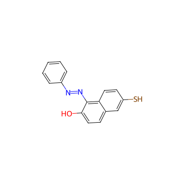 Oc1ccc2cc(S)ccc2c1N=Nc1ccccc1